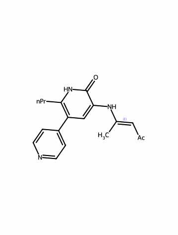 CCCc1[nH]c(=O)c(N/C(C)=C/C(C)=O)cc1-c1ccncc1